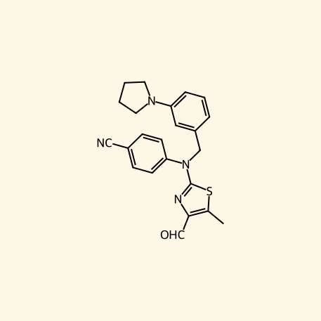 Cc1sc(N(Cc2cccc(N3CCCC3)c2)c2ccc(C#N)cc2)nc1C=O